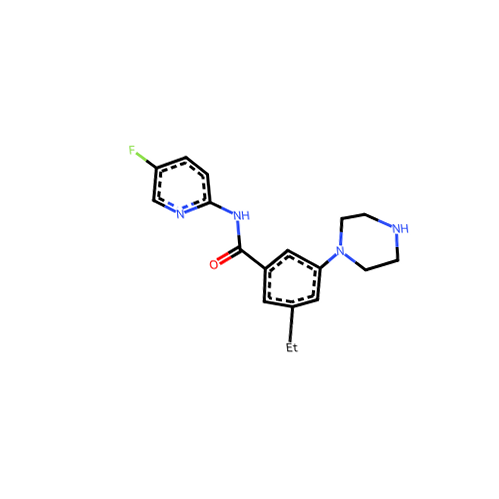 CCc1cc(C(=O)Nc2ccc(F)cn2)cc(N2CCNCC2)c1